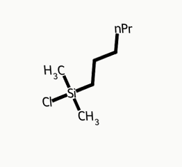 CCCCCC[Si](C)(C)Cl